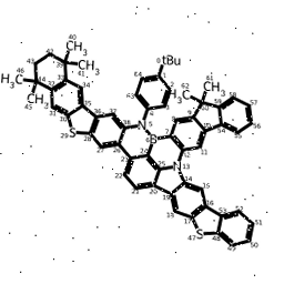 CC(C)(C)c1ccc(N2B3c4cc5c(cc4-n4c6cc7c(cc6c6ccc(c3c64)-c3cc4sc6cc8c(cc6c4cc32)C(C)(C)CCC8(C)C)sc2ccccc27)-c2ccccc2C5(C)C)cc1